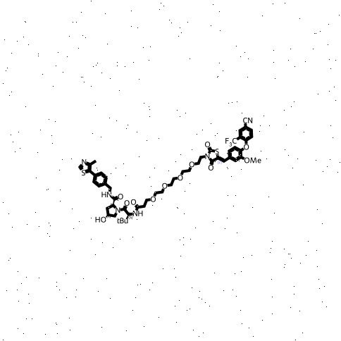 COc1cc(/C=C2\SC(=O)N(CCOCCOCCOCCOCCC(=O)N[C@H](C(=O)N3C[C@H](O)C[C@H]3C(=O)NCc3ccc(-c4scnc4C)cc3)C(C)(C)C)C2=O)ccc1Oc1ccc(C#N)cc1C(F)(F)F